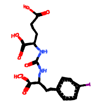 O=C(O)CCC(NC(=O)NC(Cc1ccc(I)cc1)C(=O)O)C(=O)O